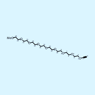 C#COCCOCCOCCOCCOCCOCCOCCOCCOC